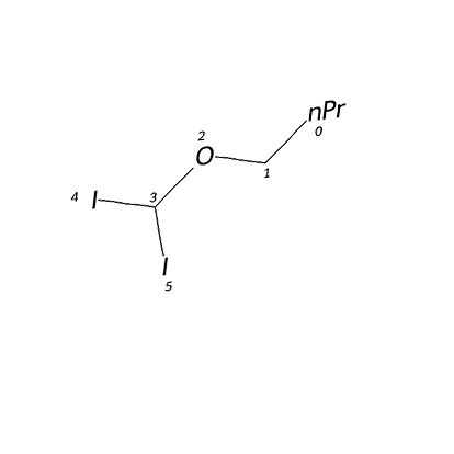 CCCCOC(I)I